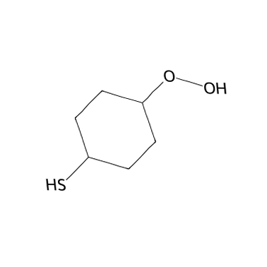 OOC1CCC(S)CC1